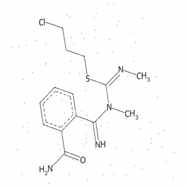 C/N=C(/SCCCCl)N(C)C(=N)c1ccccc1C(N)=O